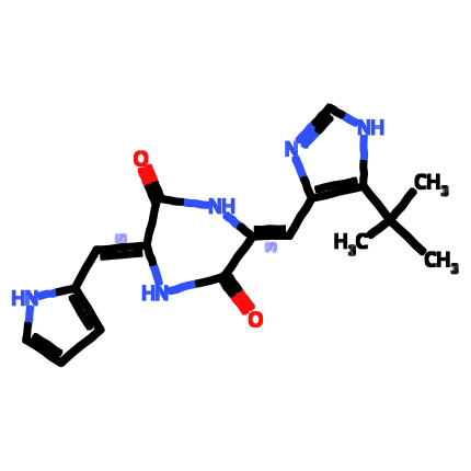 CC(C)(C)c1[nH]cnc1/C=c1\[nH]c(=O)/c(=C/c2ccc[nH]2)[nH]c1=O